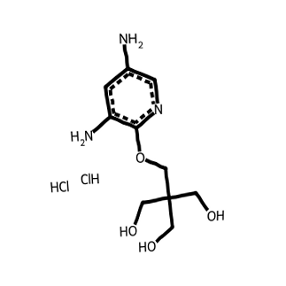 Cl.Cl.Nc1cnc(OCC(CO)(CO)CO)c(N)c1